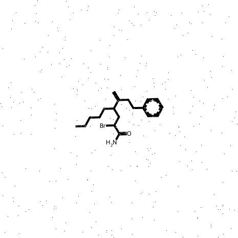 C=C(CCc1ccccc1)C(CCCCC)CC(Br)C(N)=O